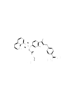 CCOC(=O)CN(c1ccc2c(C)c(Cc3ccc(C(=N)N)cc3)oc2c1)S(=O)(=O)c1cccc2cccnc12.Cl